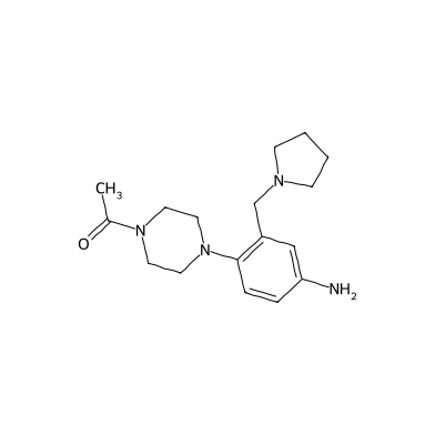 CC(=O)N1CCN(c2ccc(N)cc2CN2CCCC2)CC1